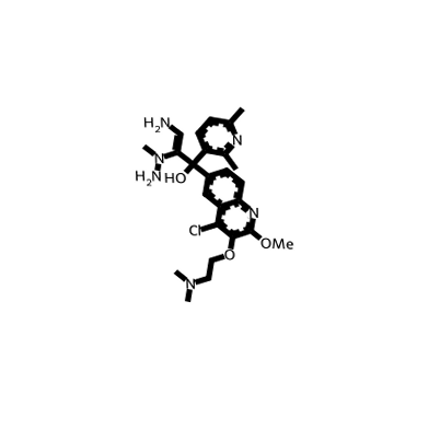 COc1nc2ccc(C(O)(/C(=C/N)N(C)N)c3ccc(C)nc3C)cc2c(Cl)c1OCCN(C)C